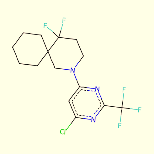 FC(F)(F)c1nc(Cl)cc(N2CCC(F)(F)C3(CCCCC3)C2)n1